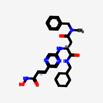 CN(Cc1ccccc1)C(=O)C[C@@H](Nc1cnc(/C=C/C(=O)NO)cn1)C(=O)NCC1CCCCC1